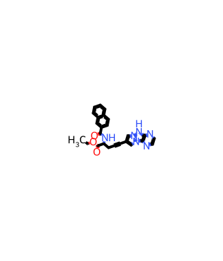 CCOC(=O)C(CC#Cc1cn2c3nccnc3[nH][n+]2c1)NC(=O)c1ccc2ccccc2c1